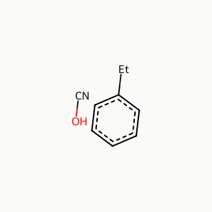 CCc1ccccc1.N#CO